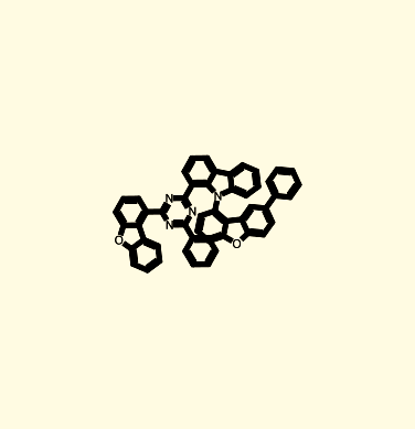 c1ccc(-c2ccc3oc4cccc(-n5c6ccccc6c6cccc(-c7nc(-c8ccccc8)nc(-c8cccc9oc%10ccccc%10c89)n7)c65)c4c3c2)cc1